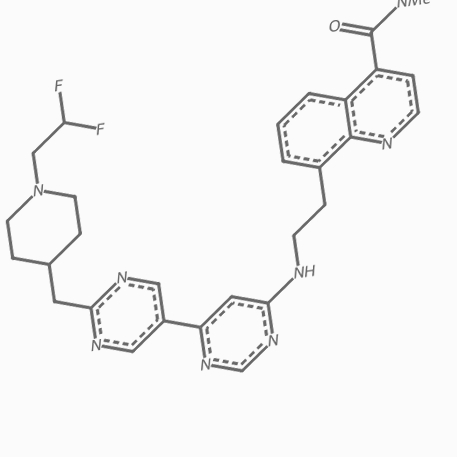 CNC(=O)c1ccnc2c(CCNc3cc(-c4cnc(CC5CCN(CC(F)F)CC5)nc4)ncn3)cccc12